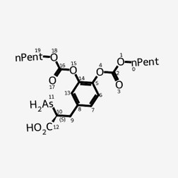 CCCCCOC(=O)Oc1ccc(C[C@H]([AsH2])C(=O)O)cc1OC(=O)OCCCCC